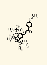 CCOc1ccc(C(=O)C=Cc2cc(OC(C)(C)C)c(C(C)(C)C)c(OC(C)(C)C)c2)cc1